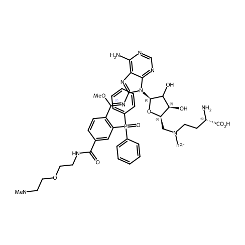 CCCN(CC[C@H](N)C(=O)O)C[C@H]1O[C@@H](n2c(/N=C(\OC)c3ccc(C(=O)NCCOCCNC)cc3P(=O)(c3ccccc3)c3ccccc3)nc3c(N)ncnc32)C(O)[C@H]1O